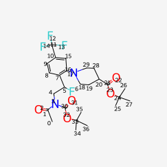 CC(=O)N(CC(F)c1ccc(C(F)(F)F)cc1N1CCC(C(=O)OC(C)(C)C)CC1)C(=O)OC(C)(C)C